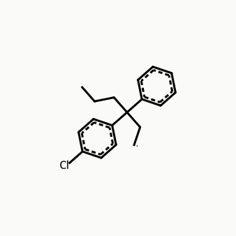 [CH2]CC(CCC)(c1ccccc1)c1ccc(Cl)cc1